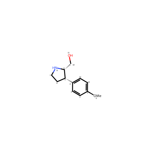 COc1ccc([C@@H]2CCN[C@@H]2CO)cc1